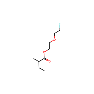 CCC(C)C(=O)OCCOCCF